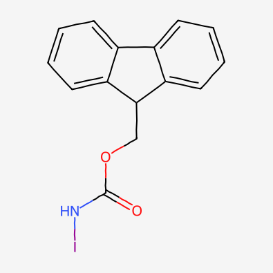 O=C(NI)OCC1c2ccccc2-c2ccccc21